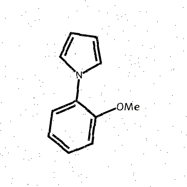 [CH2]Oc1ccccc1-n1cccc1